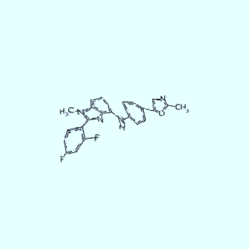 Cc1ncc(-c2ccc(Nc3cccc4c3nc(-c3ccc(F)cc3F)n4C)cc2)o1